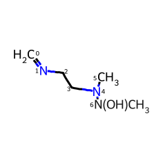 C=NCCN(C)N(C)O